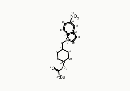 CC(C)(C)C(=O)ON1CCC(Cn2ccc3cc([N+](=O)[O-])ccc32)CC1